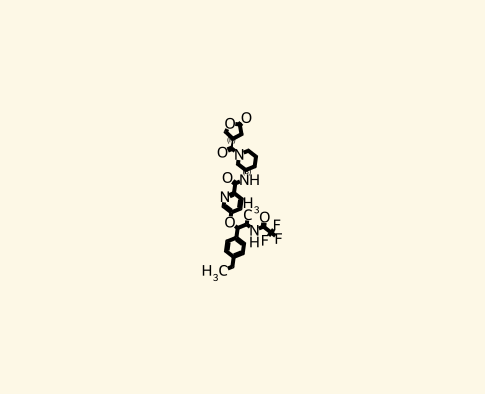 CCc1ccc(C(Oc2ccc(C(=O)N[C@H]3CCCN(C(=O)[C@H]4COC(=O)C4)C3)nc2)C(C)NC(=O)C(F)(F)F)cc1